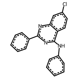 Clc1ccc2c(Nc3ccccc3)nc(-c3ccccc3)nc2c1